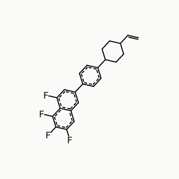 C=CC1CCC(c2ccc(-c3cc(F)c4c(F)c(F)c(F)cc4c3)cc2)CC1